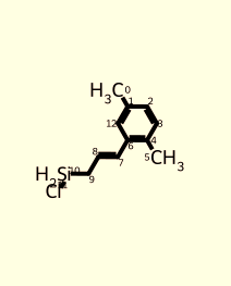 Cc1ccc(C)c(C=CC[SiH2]Cl)c1